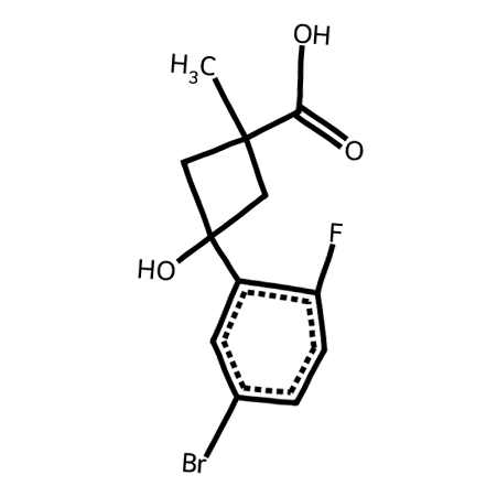 CC1(C(=O)O)CC(O)(c2cc(Br)ccc2F)C1